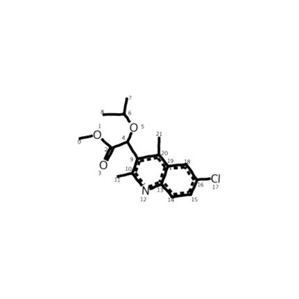 COC(=O)C(OC(C)C)c1c(C)nc2ccc(Cl)cc2c1C